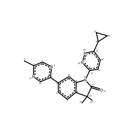 Cc1cnc(-c2ccc3c(c2)N(c2ccc(C4CC4)nn2)C(=O)C3(C)C)cn1